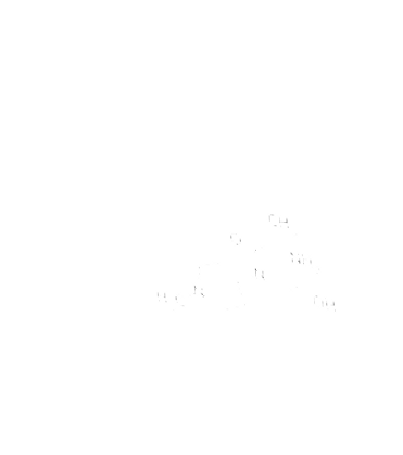 C[C@H](N)C(=O)N(CCO)C1CCN(C)CC1